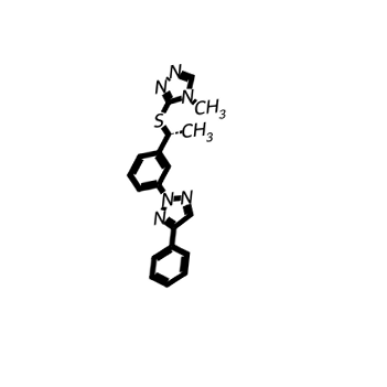 C[C@@H](Sc1nncn1C)c1cccc(-n2ncc(-c3ccccc3)n2)c1